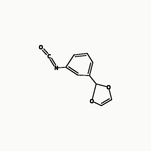 O=C=Nc1cccc(C2OC=CO2)c1